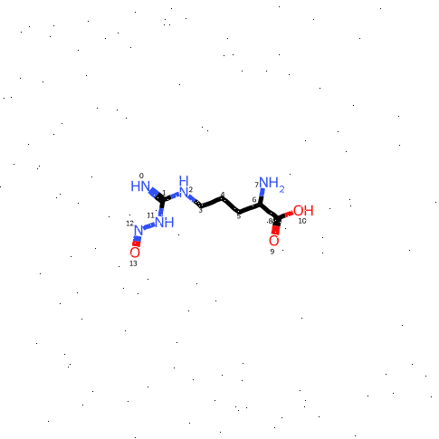 N=C(NCCCC(N)C(=O)O)NN=O